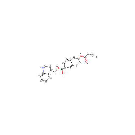 C=CC(=O)Oc1ccc2cc(C(=O)OCc3ccnc4ccccc34)ccc2c1